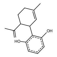 C=C(C)C1CCC(C)=CC1c1c(O)cccc1O